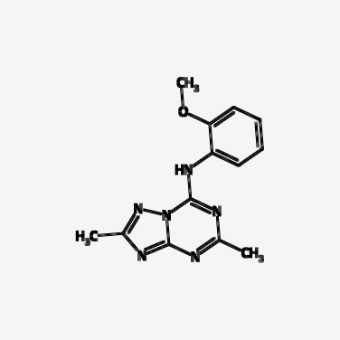 COc1ccccc1Nc1nc(C)nc2nc(C)nn12